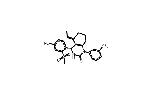 CC=C1CCCC2=C1[C@@H](c1ccc(C#N)cc1S(C)(=O)=O)NC(=O)N2c1cccc(C(F)(F)F)c1